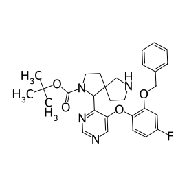 CC(C)(C)OC(=O)N1CCC2(CCNC2)C1c1ncncc1Oc1ccc(F)cc1OCc1ccccc1